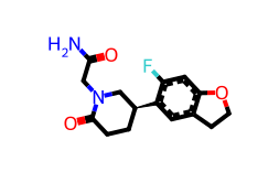 NC(=O)CN1C[C@@H](c2cc3c(cc2F)OCC3)CCC1=O